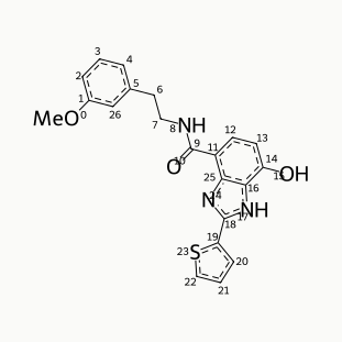 COc1cccc(CCNC(=O)c2ccc(O)c3[nH]c(-c4cccs4)nc23)c1